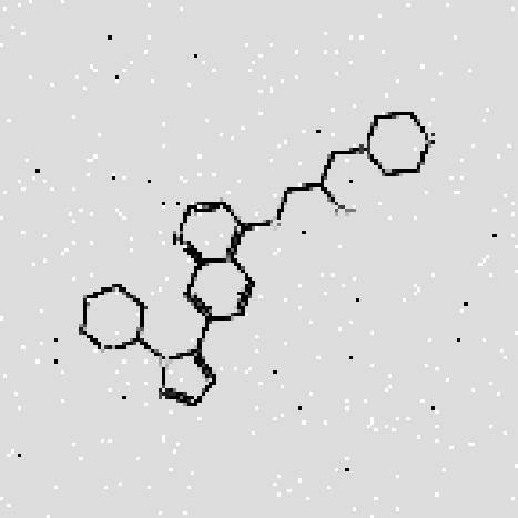 OC(COc1ccnc2cc(-c3ccnn3C3CCCCO3)ccc12)CN1CCOCC1